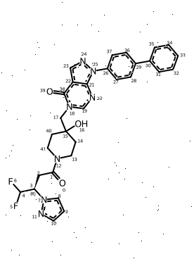 O=C(C[C@H](C(F)F)n1cccn1)N1CCC(O)(Cn2cnc3c(cnn3-c3ccc(-c4ccccc4)cc3)c2=O)CC1